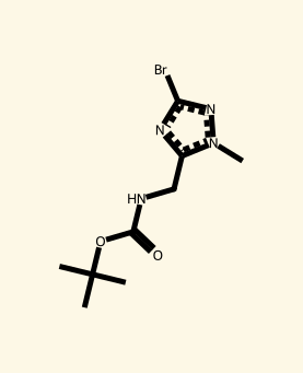 Cn1nc(Br)nc1CNC(=O)OC(C)(C)C